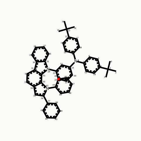 CC(C)(C)c1ccc(N(c2ccc(C(C)(C)C)cc2)c2cccc(-n3c4ccccc4c4ccc5cc(-c6ccccc6)n(-c6ccccc6)c5c43)c2)cc1